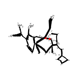 NC(=O)c1ccc2c(c1O)[C@]13CCC(CC4CCC4)[C@H](C2)[C@@H]1CCC(=O)C3